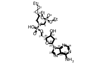 CCOOCCN(CP(=O)(OCC)OCC)P(=O)(O)OC[C@H]1O[C@@H](n2cnc3c(N)ncnc32)CC1O